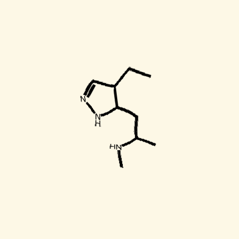 CCC1C=NNC1CC(C)NC